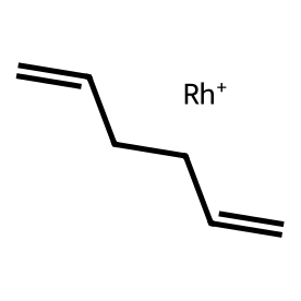 C=CCCC=C.[Rh+]